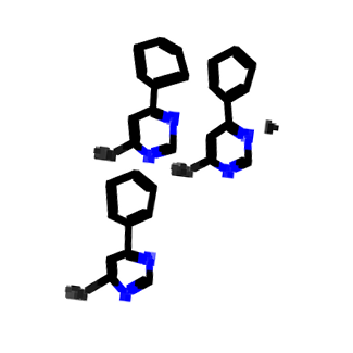 CC(C)(C)c1cc(-c2ccccc2)ncn1.CC(C)(C)c1cc(-c2ccccc2)ncn1.CC(C)(C)c1cc(-c2ccccc2)ncn1.[Ir]